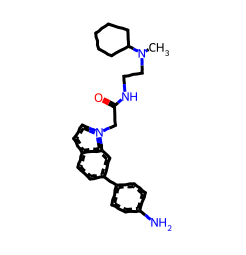 CN(CCNC(=O)Cn1ccc2ccc(-c3ccc(N)cc3)cc21)C1CCCCC1